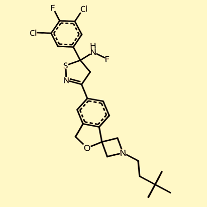 CC(C)(C)CCN1CC2(C1)OCc1cc(C3=NSC(NF)(c4cc(Cl)c(F)c(Cl)c4)C3)ccc12